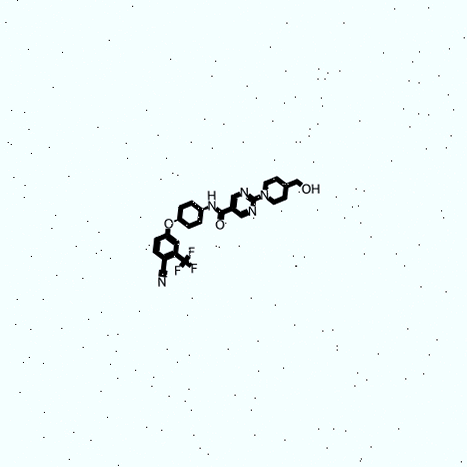 N#Cc1ccc(O[C@H]2CC[C@H](NC(=O)c3cnc(N4CCC(CO)CC4)nc3)CC2)cc1C(F)(F)F